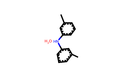 Cc1cccc(Nc2cccc(C)c2)c1.O